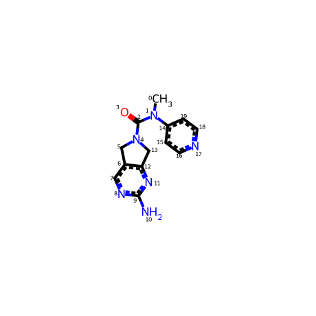 CN(C(=O)N1Cc2cnc(N)nc2C1)c1ccncc1